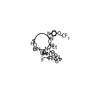 CC[C@@H]1[C@@H]2CN(C(=O)[C@H](C(C)(C)C)NC(=O)O[C@@H]3CC3CCCCCc3nc4ccc(OCC(F)(F)F)cc4nc3O2)[C@@H]1C(=O)N[C@]1(C(=O)NS(=O)(=O)C2(C)CC2)C[C@H]1C(F)F